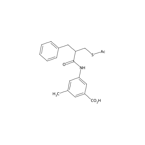 CC(=O)SCC(Cc1ccccc1)C(=O)Nc1cc(C)cc(C(=O)O)c1